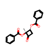 C[C@@]1(OC(=O)c2ccccc2)C(=O)C[C@H]1OC(=O)c1ccccc1